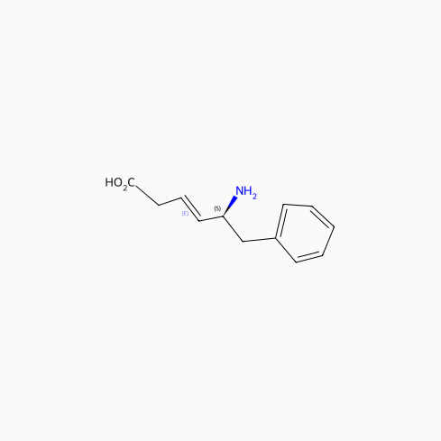 N[C@H](/C=C/CC(=O)O)Cc1ccccc1